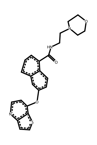 O=C(NCCN1CCOCC1)c1cccc2cc(Oc3ccnc4ccsc34)ccc12